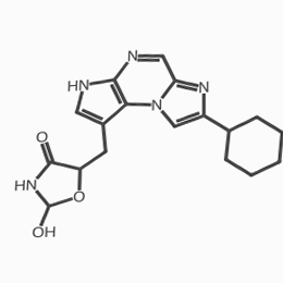 O=C1NC(O)OC1Cc1c[nH]c2ncc3nc(C4CCCCC4)cn3c12